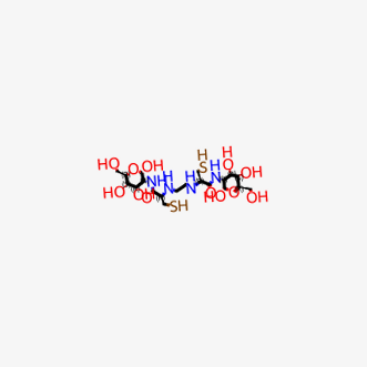 O=C(N[C@H]1C(O)O[C@H](CO)[C@@H](O)[C@@H]1O)[C@H](CS)NCCN[C@@H](CS)C(=O)N[C@H]1C(O)O[C@H](CO)[C@@H](O)[C@@H]1O